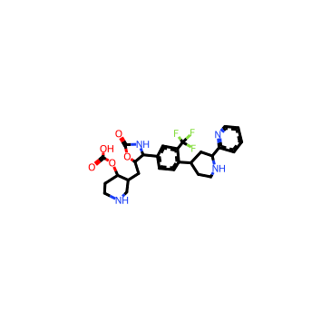 O=C(O)OC1CCNCC1CC1OC(=O)NC1c1ccc(C2CCNC(c3ccccn3)C2)c(C(F)(F)F)c1